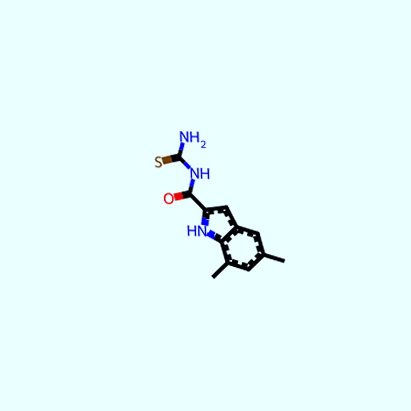 Cc1cc(C)c2[nH]c(C(=O)NC(N)=S)cc2c1